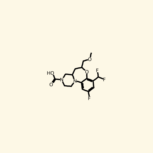 COCC1CC2CN(C(=O)O)CCN2c2cc(F)cc(C(F)F)c2O1